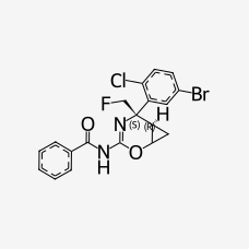 O=C(NC1=N[C@](CF)(c2cc(Br)ccc2Cl)[C@H]2CC2O1)c1ccccc1